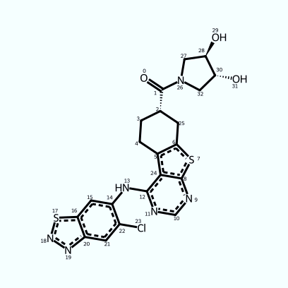 O=C([C@H]1CCc2c(sc3ncnc(Nc4cc5snnc5cc4Cl)c23)C1)N1C[C@@H](O)[C@H](O)C1